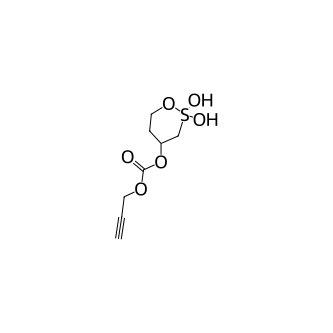 C#CCOC(=O)OC1CCOS(O)(O)C1